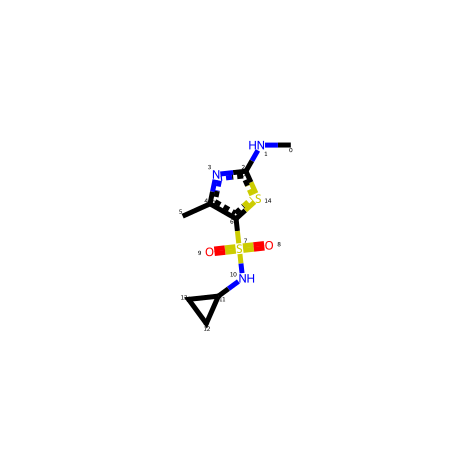 CNc1nc(C)c(S(=O)(=O)NC2CC2)s1